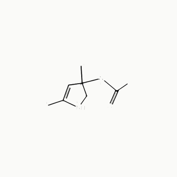 CC(=O)NC1(C)C=C(C)NC1